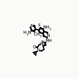 Cc1c(N)cncc1-c1cc2cc(Nc3cc4n(n3)CC(=O)N(C3CC3)CC4)ncc2c(N)c1F